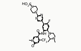 CC1CN(c2cc(F)c(-c3cnc(N4CCN(C(=O)O)CC4)nc3)cc2NC(=O)c2cn(C)c(=O)cc2C(F)(F)F)CCN1C